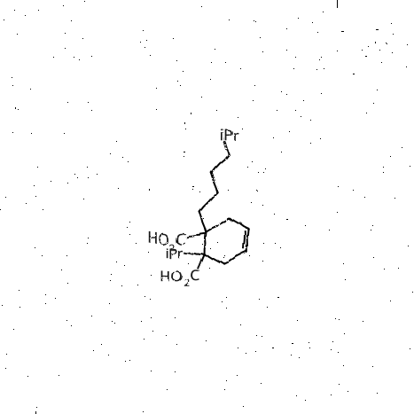 CC(C)CCCCC1(C(=O)O)CC=CCC1(C(=O)O)C(C)C